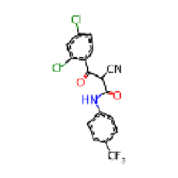 N#CC(C(=O)Nc1ccc(C(F)(F)F)cc1)C(=O)c1ccc(Cl)cc1Cl